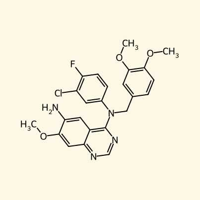 COc1cc2ncnc(N(Cc3ccc(OC)c(OC)c3)c3ccc(F)c(Cl)c3)c2cc1N